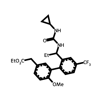 CCOC(=O)Cc1ccc(OC)c(-c2ccc(C(F)(F)F)cc2C(CC)NC(=O)NC2CC2)c1